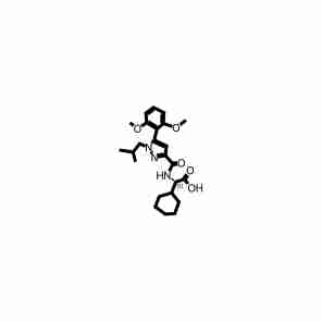 COc1cccc(OC)c1-c1cc(C(=O)N[C@H](C(=O)O)C2CCCCC2)nn1CC(C)C